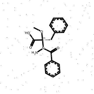 CO[C@](Cc1ccccc1)(C(=O)O)N(N)C(=O)c1ccccc1